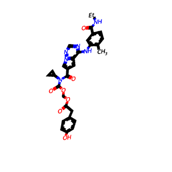 CCNC(=O)c1ccc(C)c(Nc2ncnn3cc(C(=O)N(C(=O)OCOC(=O)Cc4ccc(O)cc4)C4CC4)cc23)c1